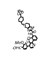 COc1nc(-c2ccnc(-c3cccc(NC(=O)c4nc5c(n4C)CCN(CC4CCC(C(=O)OC(C)(C)C)CC4)C5)c3Cl)c2Cl)ccc1C=O